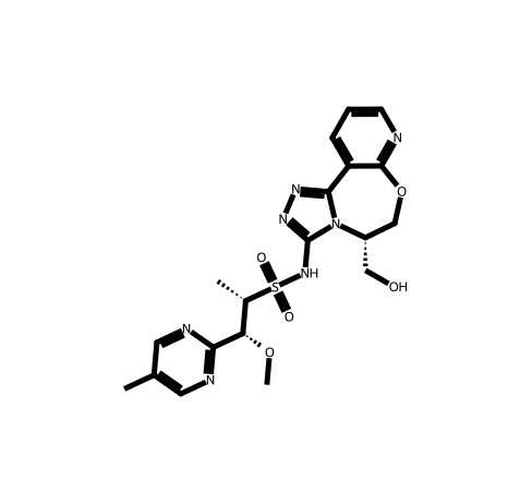 CO[C@H](c1ncc(C)cn1)[C@H](C)S(=O)(=O)Nc1nnc2n1[C@@H](CO)COc1ncccc1-2